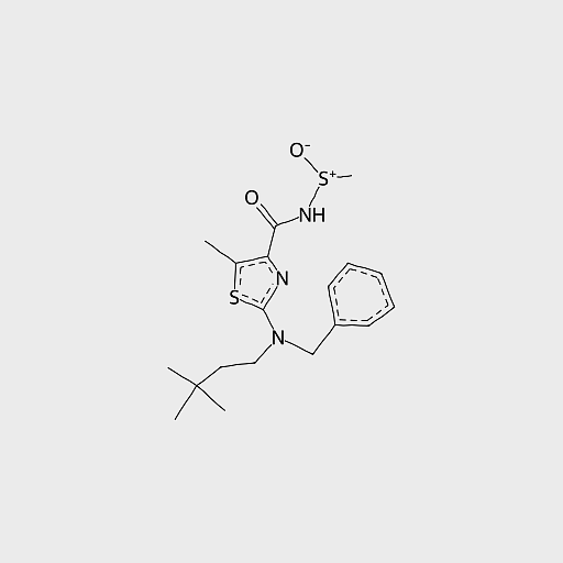 Cc1sc(N(CCC(C)(C)C)Cc2ccccc2)nc1C(=O)N[S+](C)[O-]